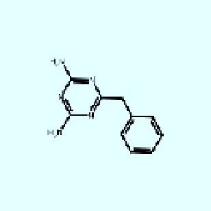 Nc1nc(N)nc(Cc2ccccc2)n1